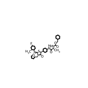 Cc1cc(F)ccc1/N=C1\SC(c2ccc(NC(=O)[C@H](C)NC(=O)OCc3ccccc3)cc2)C(=O)N1Cc1ccco1